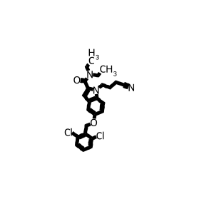 CCN(CC)C(=O)c1cc2cc(OCc3c(Cl)cccc3Cl)ccc2n1CCCC#N